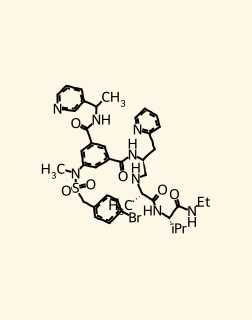 CCNC(=O)[C@@H](NC(=O)[C@H](C)NC[C@H](Cc1ccccn1)NC(=O)c1cc(C(=O)NC(C)c2cccnc2)cc(N(C)S(=O)(=O)Cc2ccc(Br)cc2)c1)C(C)C